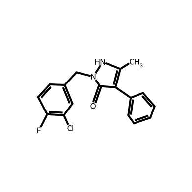 Cc1[nH]n(Cc2ccc(F)c(Cl)c2)c(=O)c1-c1ccccc1